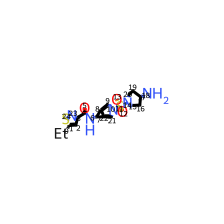 CCc1cc(C(=O)NC2c3cn(S(=O)(=O)N4CCC(N)CC4)cc32)ns1